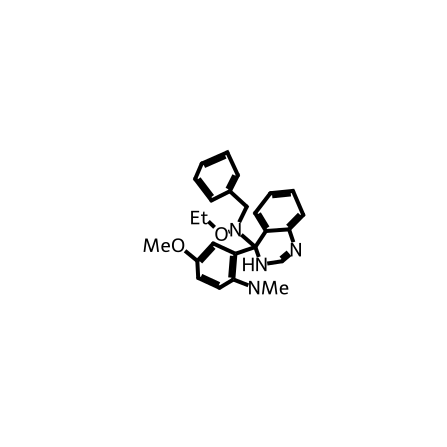 CCON(Cc1ccccc1)C1(c2cc(OC)ccc2NC)NC=Nc2ccccc21